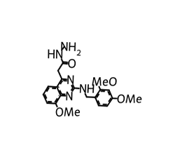 COc1ccc(CNc2nc(CC(=O)NN)c3cccc(OC)c3n2)c(OC)c1